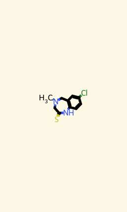 CN1CC(=S)Nc2ccc(Cl)cc2C1